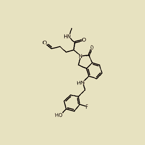 CNC(=O)C(CCC=O)N1Cc2c(NCc3ccc(O)cc3F)cccc2C1=O